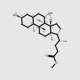 COC(=O)CC[C@@H](C)[C@H]1CC[C@H]2[C@@H]3[C@@H](O)CC4C[C@H](O)CC[C@]4(C)[C@@]3(C)CC[C@]12C